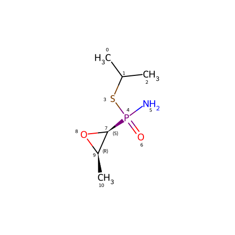 CC(C)SP(N)(=O)[C@@H]1O[C@@H]1C